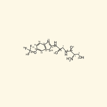 N[C@H](CO)C(=O)NCC(=O)Nc1nc2ccc(OC(F)(F)F)cc2s1